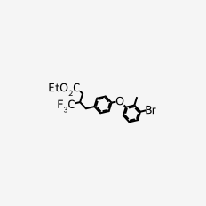 CCOC(=O)CC(Cc1ccc(Oc2cccc(Br)c2C)cc1)C(F)(F)F